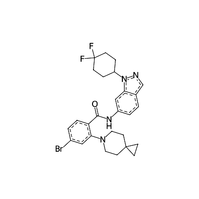 O=C(Nc1ccc2cnn(C3CCC(F)(F)CC3)c2c1)c1ccc(Br)cc1N1CCC2(CC1)CC2